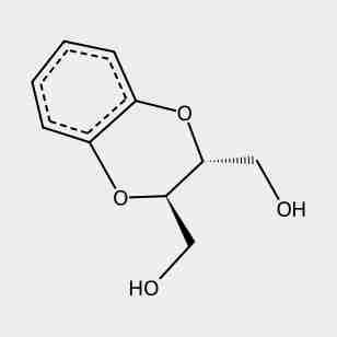 OC[C@H]1Oc2ccccc2O[C@@H]1CO